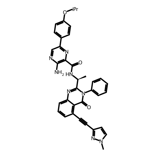 CC(C)Oc1ccc(-c2cnc(N)c(C(=O)N[C@@H](C)c3nc4cccc(C#Cc5ccn(C)n5)c4c(=O)n3-c3ccccc3)n2)cc1